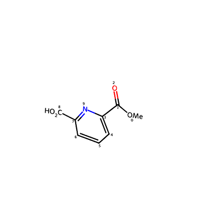 COC(=O)c1cccc(C(=O)O)n1